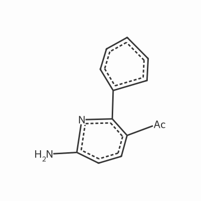 CC(=O)c1ccc(N)nc1-c1ccccc1